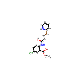 COC(=O)c1cc(Cl)ccc1NC(=O)CCSc1ccccn1